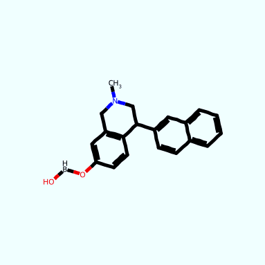 CN1Cc2cc(OBO)ccc2C(c2ccc3ccccc3c2)C1